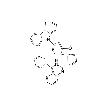 c1ccc(C2=c3ccccc3=NC(c3cccc4oc5cc(-n6c7ccccc7c7ccccc76)ccc5c34)N2)cc1